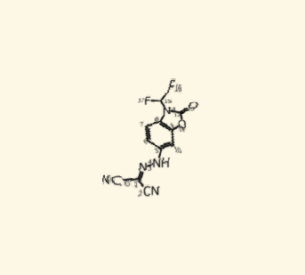 N#CC(C#N)=NNc1ccc2c(c1)oc(=O)n2C(F)F